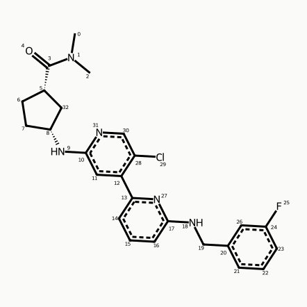 CN(C)C(=O)[C@H]1CC[C@@H](Nc2cc(-c3cccc(NCc4cccc(F)c4)n3)c(Cl)cn2)C1